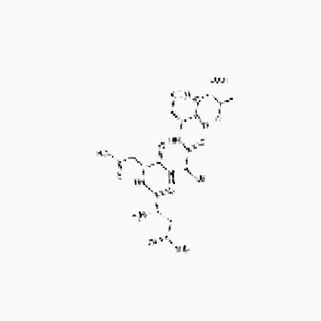 CC[C@H](C)[C@H](NC(=O)[C@H](CC(N)=O)NC(=O)[C@@H](N)CC(N)=O)C(=O)N[C@@H](CC(=O)O)C(=O)N[C@H](C(=O)O)[C@@H](C)O